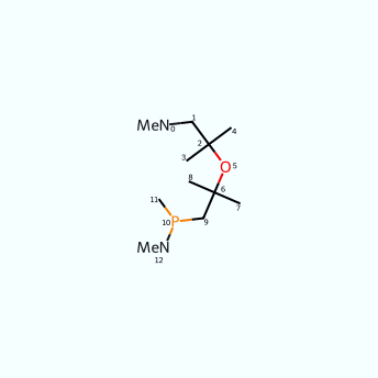 CNCC(C)(C)OC(C)(C)CP(C)NC